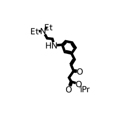 CCN(CC)CCNc1cccc(C=CC(=O)CC(=O)OC(C)C)c1